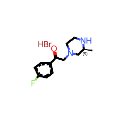 Br.C[C@H]1CN(CC(=O)c2ccc(F)cc2)CCN1